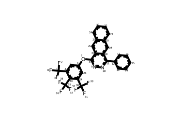 FC(F)(F)c1cc(Oc2nnc(-c3ccccc3)c3cc4ccccc4cc23)cc(C(F)(F)F)c1C(F)(F)F